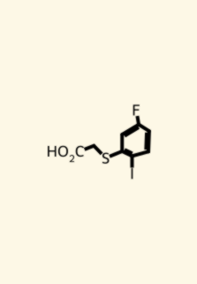 O=C(O)CSc1cc(F)ccc1I